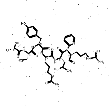 CC(C)C[C@H](NC(=O)[C@H](CCCNC(N)=O)NC(=O)[C@H](Cc1ccc(O)cc1)NC(=O)[C@H](CO)NC(=O)[C@H](C)N)C(=O)N(c1ccccn1)[C@H]([C]=O)CCCNC(=N)N